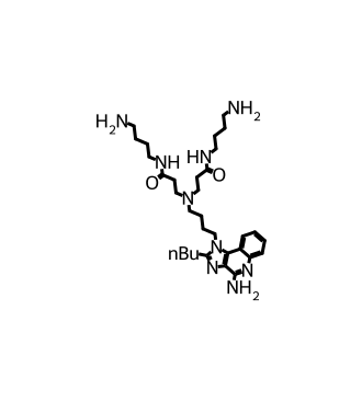 CCCCc1nc2c(N)nc3ccccc3c2n1CCCCN(CCC(=O)NCCCCN)CCC(=O)NCCCCN